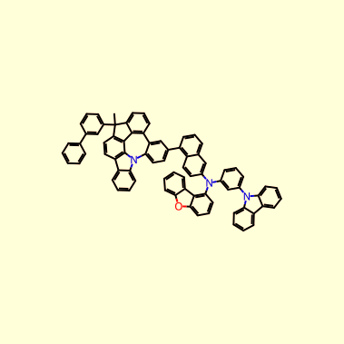 CC1(c2cccc(-c3ccccc3)c2)c2cccc3c2-c2c1ccc1c4ccccc4n(c21)-c1ccc(-c2cccc4cc(N(c5cccc(-n6c7ccccc7c7ccccc76)c5)c5cccc6oc7ccccc7c56)ccc24)cc1-3